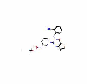 Cc1csc2c(=O)n(Cc3ccccc3C#N)c(N3CCC[C@@H](NC(=O)OC(C)(C)C)C3)nc12